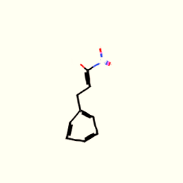 O=[N+]([O-])C(O)=CCc1ccccc1